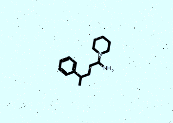 CC(CCC(N)N1CCCCC1)c1ccccc1